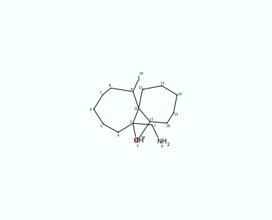 NCC1(O)CCCCCC(I)C12CCCCCC2I